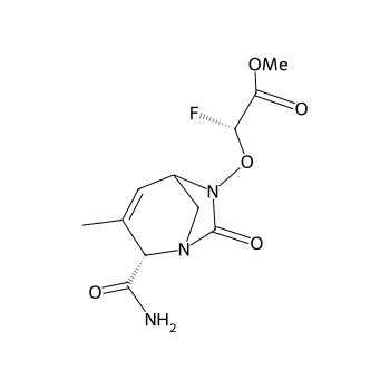 COC(=O)[C@@H](F)ON1C(=O)N2CC1C=C(C)[C@H]2C(N)=O